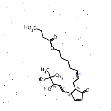 CCCCC(C)(C)[C@H](O)/C=C/[C@@H]1C=CC(=O)[C@@H]1C/C=C\CCCCOC(=O)CCC(=O)O